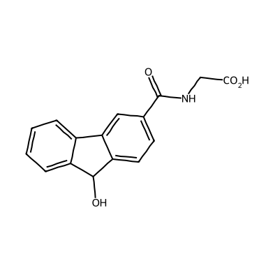 O=C(O)CNC(=O)c1ccc2c(c1)-c1ccccc1C2O